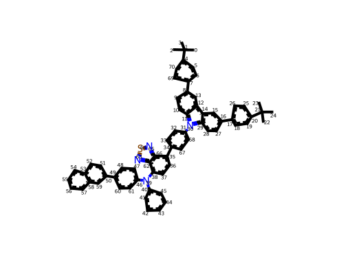 CC(C)(C)c1ccc(-c2ccc3c(c2)c2cc(-c4ccc(C(C)(C)C)cc4)ccc2n3-c2ccc(-c3ccc(N(c4ccccc4)c4ccc(-c5ccc6ccccc6c5)cc4)c4nsnc34)cc2)cc1